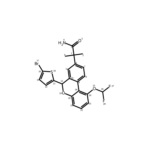 CC(C)(C(N)=O)c1ccc2c(c1)C(c1ccc(Br)s1)Oc1cccc(OC(F)F)c1-2